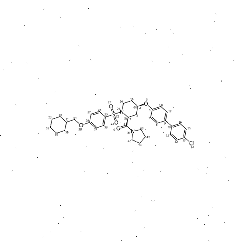 O=C([C@@H]1C[C@H](Oc2ccc(-c3ccc(Cl)cc3)cc2)CCN1S(=O)(=O)c1ccc(OCC2CCCCC2)cc1)N1CCCC1